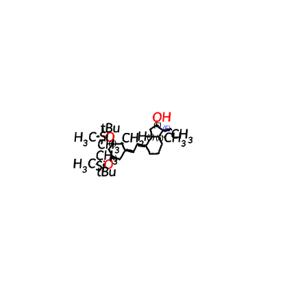 C=C1C(=CC=C2CCC[C@]3(C)/C(=C\C)[C@@H](O)C[C@@H]23)C[C@@H](O[Si](C)(C)C(C)(C)C)C[C@@H]1O[Si](C)(C)C(C)(C)C